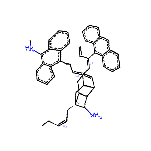 C=C/C(=C\C(=C/Cc1c2ccccc2c(NC)c2ccccc12)C1C[C@]2(C/C=C\CC)C(N)C3C1C=CCC32)c1c2ccccc2cc2ccccc12